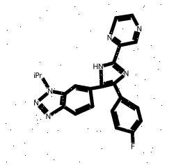 CC(C)n1nnc2ccc(-c3[nH]c(-c4cnccn4)nc3-c3ccc(F)cc3)cc21